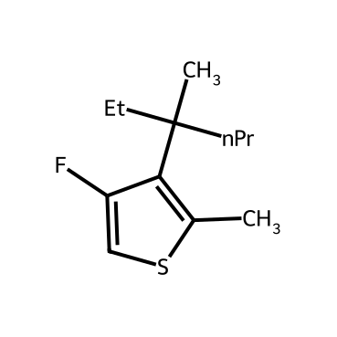 CCCC(C)(CC)c1c(F)csc1C